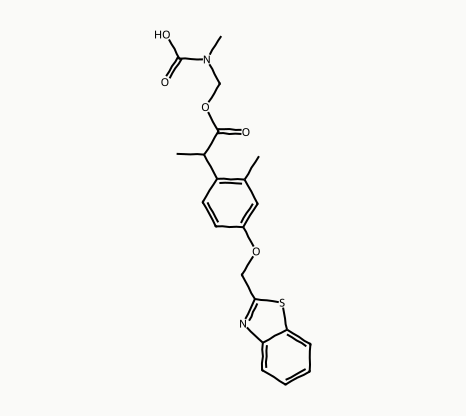 Cc1cc(OCc2nc3ccccc3s2)ccc1C(C)C(=O)OCN(C)C(=O)O